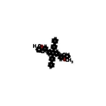 CC12CCCCC1(C)c1cc(-c3ccc4c(-c5ccc(-c6ccccc6)cc5)c5cc(-c6ccc7c(c6)C6(C)CCCCC6(C)O7)ccc5c(-c5ccc(-c6ccccc6)cc5)c4c3)ccc1O2